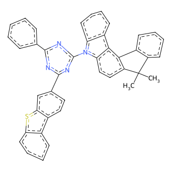 CC1(C)c2ccccc2-c2c1ccc1c2c2ccccc2n1-c1nc(-c2ccccc2)nc(-c2ccc3c(c2)sc2ccccc23)n1